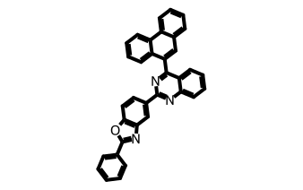 c1ccc(-c2nc3cc(-c4nc(-c5cc6ccccc6c6ccccc56)c5ccccc5n4)ccc3o2)cc1